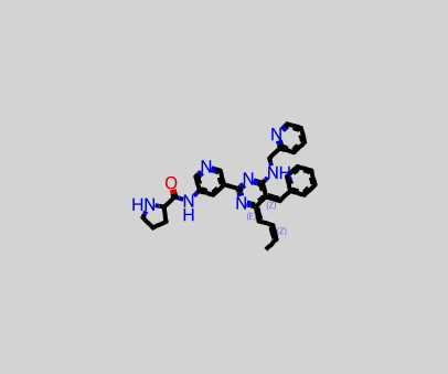 C\C=C/C=c1/nc(-c2cncc(NC(=O)C3CCCN3)c2)nc(NCc2ccccn2)/c1=C\c1ccccc1